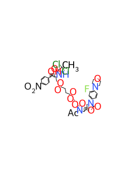 CC(=O)N(C[C@H]1CN(c2ccc(N3CCOCC3)c(F)c2)C(=O)O1)C(=O)OCOC(=O)CCC(=O)OCC(NC(=O)C(C)(Cl)Cl)[C@H](O)c1ccc([N+](=O)[O-])cc1